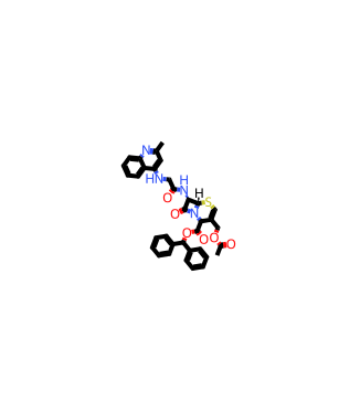 CC(=O)OCC1=CS[C@@H]2[C@H](NC(=O)CNc3cc(C)nc4ccccc34)C(=O)N2C1C(=O)OC(c1ccccc1)c1ccccc1